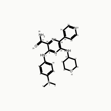 CN(C)c1ccc(Nc2nc(NC3CCOCC3)c(-c3ccncc3)nc2C(N)=O)cc1